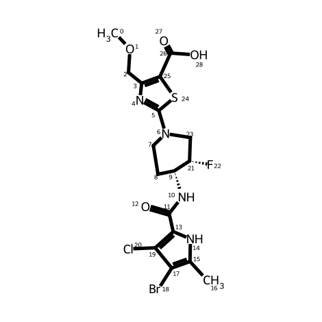 COCc1nc(N2CC[C@@H](NC(=O)c3[nH]c(C)c(Br)c3Cl)[C@@H](F)C2)sc1C(=O)O